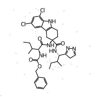 CCC(C)[C@H](NC(=O)OCc1ccccc1)C(=O)N[C@]1(C(=O)N[C@H](C2=NN=CC2)C(C)CC)CCc2[nH]c3c(Cl)cc(Cl)cc3c2C1